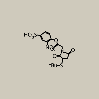 CC(C)(C)SC1CC(=O)N(CC(=O)Oc2ccc(S(=O)(=O)O)cc2[N+](=O)[O-])C1=O